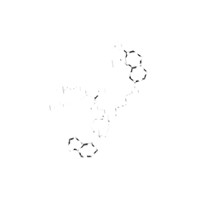 CCCCCC(CCCCC)C(=O)OC[N+]1(CCCCOc2ccc3ccc(=O)[nH]c3c2)CCN(c2cccc3sccc23)CC1